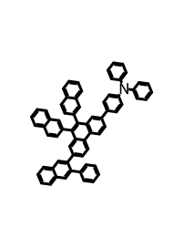 c1ccc(-c2cc3ccccc3cc2-c2ccc3c(c2)c(-c2ccc4ccccc4c2)c(-c2ccc4ccccc4c2)c2cc(-c4ccc(N(c5ccccc5)c5ccccc5)cc4)ccc23)cc1